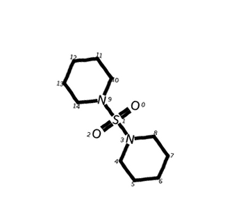 O=S(=O)(N1CCCCC1)N1CCCCC1